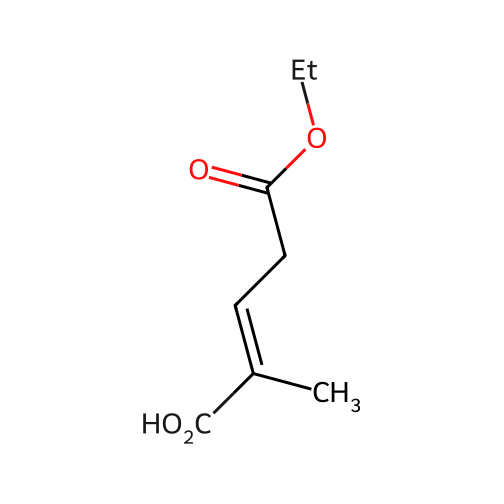 CCOC(=O)CC=C(C)C(=O)O